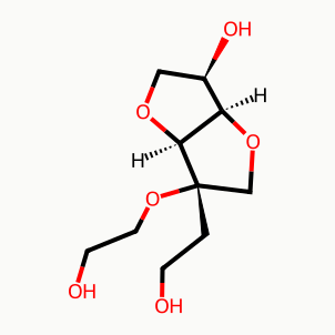 OCCO[C@@]1(CCO)CO[C@@H]2[C@H](O)CO[C@@H]21